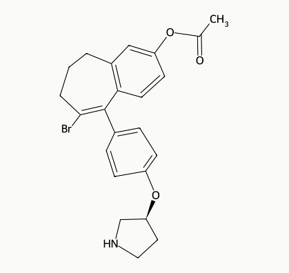 CC(=O)Oc1ccc2c(c1)CCCC(Br)=C2c1ccc(O[C@H]2CCNC2)cc1